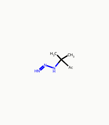 CC(=O)C(C)(C)NN=N